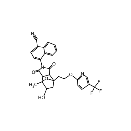 CC12OC(CCOc3ccc(C(F)(F)F)cn3)(CC1O)C1C(=O)N(c3ccc(C#N)c4ccccc34)C(=O)C12